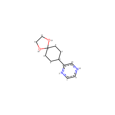 c1cnc(C2CCC3(CC2)OCCO3)cn1